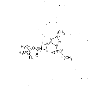 CCOC(=O)c1cn(C)cc1C1CN(C(=O)OC(C)(C)C)C1